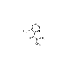 Cc1cn[c]nc1C(=O)N(C)C